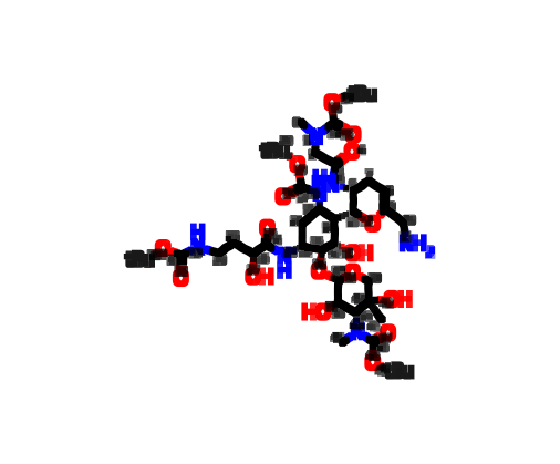 CN(CC(=O)N[C@@H]1CC=C(CN)O[C@@H]1C1[C@@H](NC(=O)OC(C)(C)C)C[C@@H](NC(=O)[C@@H](O)CCNC(=O)OC(C)(C)C)[C@H](O[C@H]2OC[C@](C)(O)[C@H](N(C)C(=O)OC(C)(C)C)[C@H]2O)[C@H]1O)C(=O)OC(C)(C)C